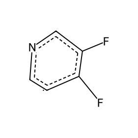 Fc1[c]cncc1F